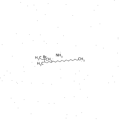 CCCCCCCCCCCCCCCCC(C)C(C)(Br)CC.N